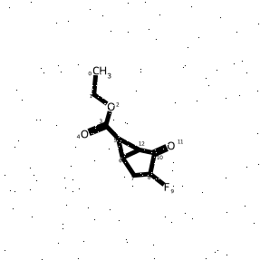 CCOC(=O)C1C2CC(F)C(=O)C21